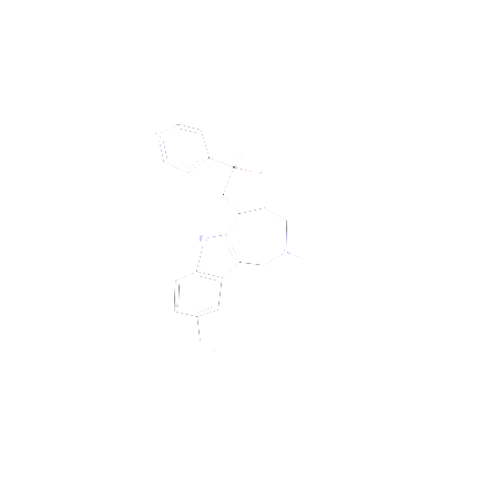 Cc1ccc2[nH]c3c(c2c1)CN(C)CCC3CC(C)(O)c1ccncc1